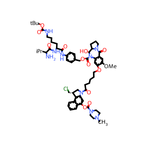 COc1cc2c(cc1OCCCCCC(=O)N1C[C@@H](CCl)c3c1cc(OC(=O)N1CCN(C)CC1)c1ccccc31)N(C(=O)OCc1ccc(NC(=O)C(CCCCNC(=O)OC(C)(C)C)NC(=O)C(N)C(C)C)cc1)[C@@H](O)C1CCCN1C2=O